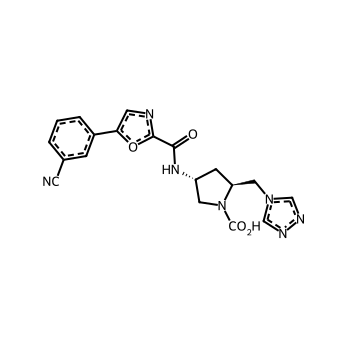 N#Cc1cccc(-c2cnc(C(=O)N[C@@H]3C[C@@H](Cn4cnnc4)N(C(=O)O)C3)o2)c1